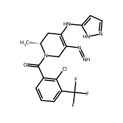 C[C@@H]1CC(Nc2ccn[nH]2)=C(N=N)CN1C(=O)c1cccc(C(F)(F)F)c1Cl